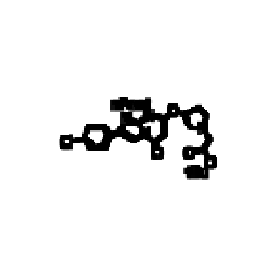 CCCCCn1c(O[C@H]2CCN(CC(=O)OC(C)(C)C)C2)cc(=O)n2cc(-c3ccc(Cl)cc3)nc12